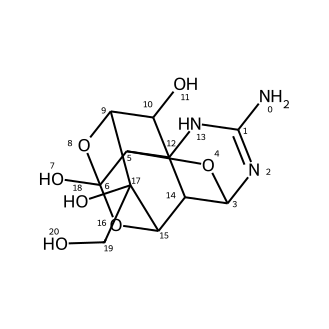 NC1=NC2OC3C4(O)OC5C(O)C3(N1)C2C(O4)C5(O)CO